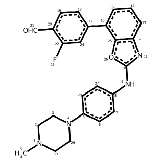 CN1CCN(c2ccc(Nc3nc4cccc(-c5ccc(C=O)c(F)c5)c4o3)cc2)CC1